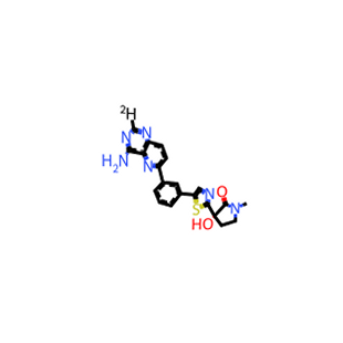 [2H]c1nc(N)c2nc(-c3cccc(-c4cnc(C5(O)CCN(C)C5=O)s4)c3)ccc2n1